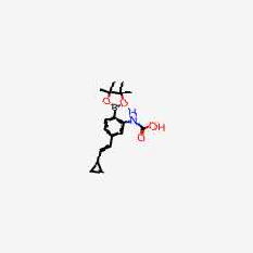 CC1(C)OB(c2ccc(C=CC3CC3)cc2NC(=O)O)OC1(C)C